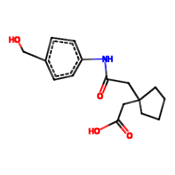 O=C(O)CC1(CC(=O)Nc2ccc(CO)cc2)CCCC1